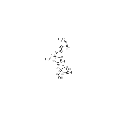 C=CC(=O)OOCC(CO)(CO)COCC(CO)(CO)CO